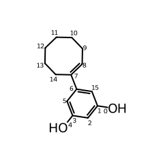 Oc1cc(O)cc(C2=CCCCCCC2)c1